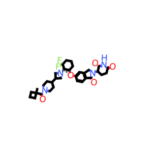 CC1(C(=O)N2CCC(C3CN([C@@H]4[C@H](Oc5ccc6c(c5)CN(C5CCC(=O)NC5=O)C6=O)CCCC4(F)F)C3)CC2)CCC1